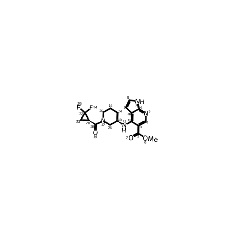 COC(=O)c1cnc2[nH]ccc2c1N[C@@H]1CCCN(C(=O)[C@H]2CC2(F)F)C1